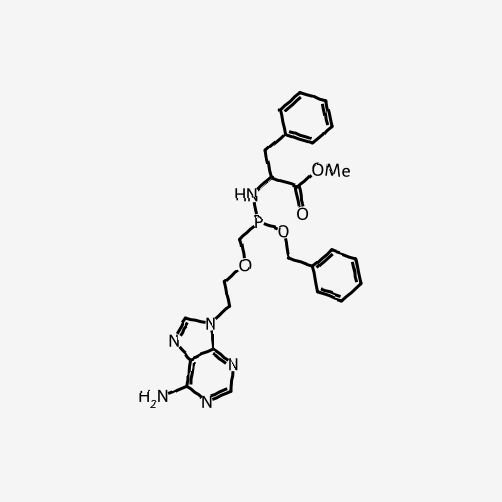 COC(=O)C(Cc1ccccc1)NP(COCCn1cnc2c(N)ncnc21)OCc1ccccc1